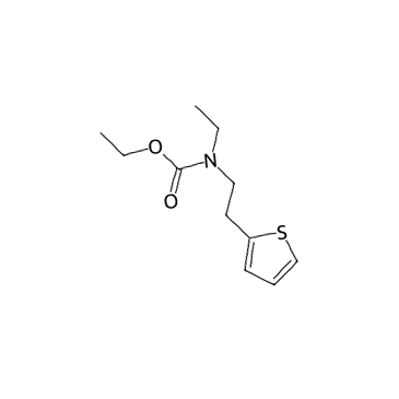 CCOC(=O)N(CC)CCc1cccs1